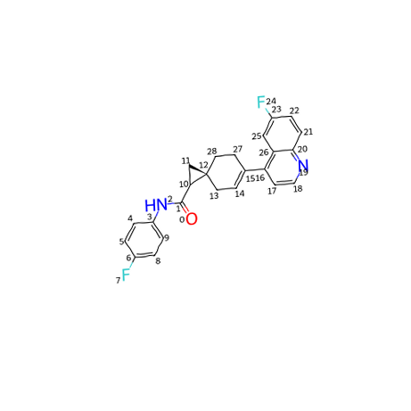 O=C(Nc1ccc(F)cc1)C1C[C@@]12CC=C(c1ccnc3ccc(F)cc13)CC2